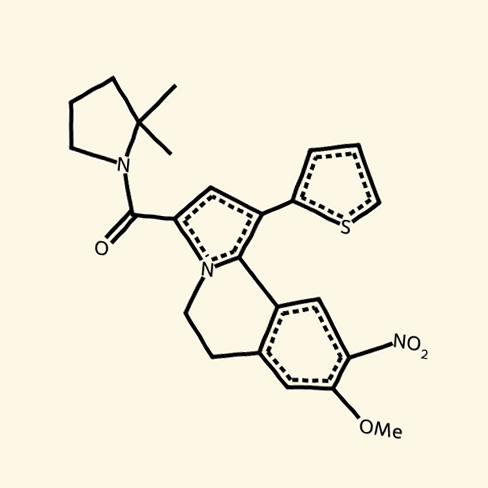 COc1cc2c(cc1[N+](=O)[O-])-c1c(-c3cccs3)cc(C(=O)N3CCCC3(C)C)n1CC2